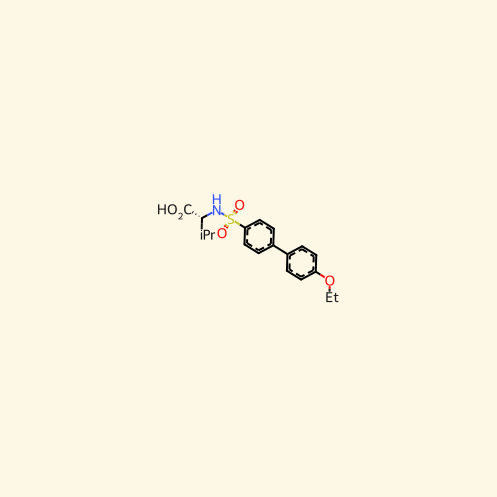 CCOc1ccc(-c2ccc(S(=O)(=O)N[C@@H](C(=O)O)C(C)C)cc2)cc1